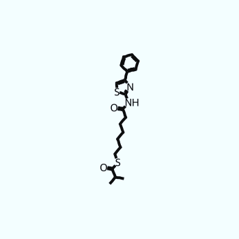 CC(C)C(=O)SCCCCCCC(=O)Nc1nc(-c2ccccc2)cs1